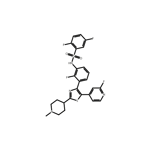 CN1CCC(c2nc(-c3cccc(NS(=O)(=O)c4cc(F)ccc4F)c3F)c(-c3ccnc(F)c3)s2)CC1